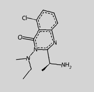 CCN(C)n1c([C@H](C)N)nc2cccc(Cl)c2c1=O